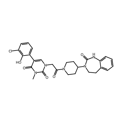 Cn1c(=O)c(-c2cccc(Cl)c2O)cn(CC(=O)N2CCC(N3CCc4ccccc4NC3=O)CC2)c1=O